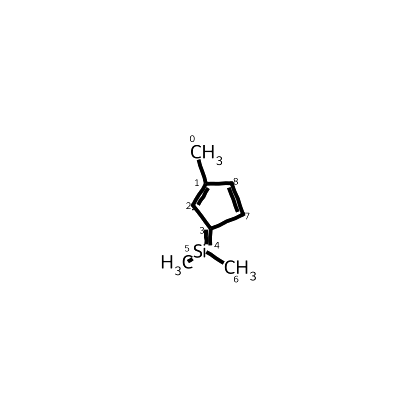 CC1=[C]C(=[Si](C)C)C=C1